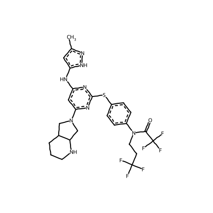 Cc1cc(Nc2cc(N3CC4CCCNC4C3)nc(Sc3ccc(N(CCC(F)(F)F)C(=O)C(F)(F)F)cc3)n2)[nH]n1